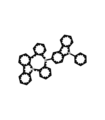 c1ccc(-n2c3ccccc3c3cc(-n4c5ccccc5c5cccc6c7ccccc7n(c7ccccc74)c56)ccc32)cc1